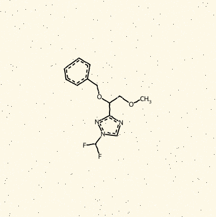 COCC(OCc1ccccc1)c1ncn(C(F)F)n1